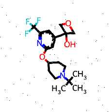 CC(C)(C)N1CCC(Oc2cc(C3(O)COC3)cc(C(F)(F)F)n2)CC1